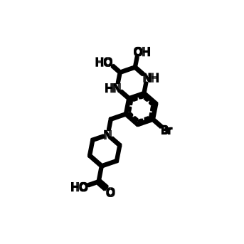 O=C(O)C1CCN(Cc2cc(Br)cc3c2NC(O)C(O)N3)CC1